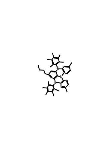 CCCCc1cc2c3c(c1)B(c1c(C)c(C)c(C)c(C)c1C)c1cc(C)ccc1N3c1ccc(C)cc1B2c1c(C)c(C)c(C)c(C)c1C